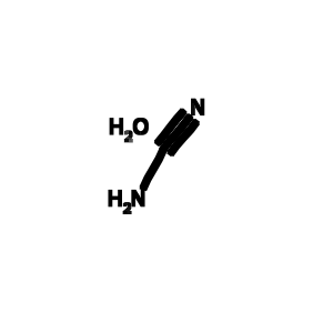 N#CN.O